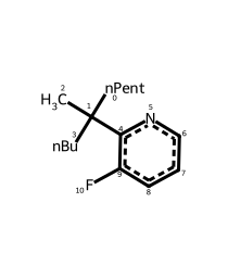 CCCCCC(C)(CCCC)c1ncccc1F